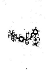 CC(C)(C)OC(=O)N1c2ccccc2CC1CNC(=O)c1ccc(-c2noc(C(F)(F)F)n2)cc1